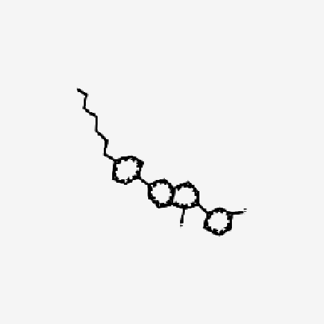 CCCCCCCc1ccc(-c2ccc3c(F)c(-c4cccc(F)c4)ccc3c2)cc1